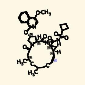 COc1cnc(O[C@@H]2C[C@H]3C(=O)N[C@]4(C(=O)NS(=O)(=O)C5CCC5)C[C@H]4/C=C\CCC(C)C[C@@H](C)CC(=O)N3C2)c2ccccc12